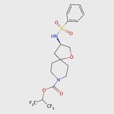 O=C(OC(C(F)(F)F)C(F)(F)F)N1CCC2(CC1)C[C@@H](NS(=O)(=O)c1ccccc1)CO2